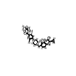 [2H]C([2H])([2H])NC(=O)c1ccc(N2CCN(Cc3ccc4nc(C5CC5)c(=O)[nH]c4c3F)CC2)c(C)n1